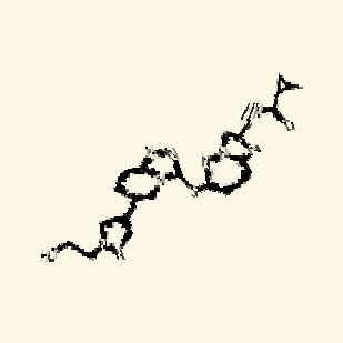 O=C(Nc1cn2nc(Sc3nnc4ccc(-c5cnn(CCO)c5)cn34)ccc2n1)C1CC1